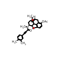 CC(=O)Oc1ccc2c3c1C[C@@H]1[C@@H]4CC[C@H](N(C)C(=O)C#Cc5ccc(C)c(C)c5)[C@H](O2)[C@]34CCN1C